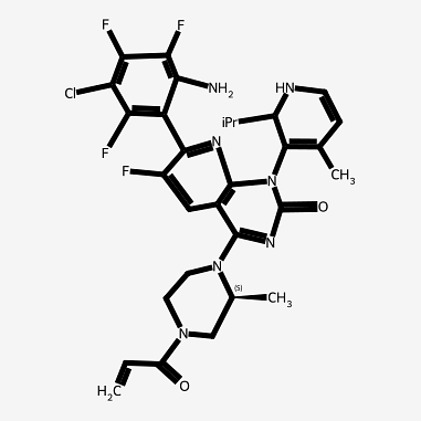 C=CC(=O)N1CCN(c2nc(=O)n(C3=C(C)C=CNC3C(C)C)c3nc(-c4c(N)c(F)c(F)c(Cl)c4F)c(F)cc23)[C@@H](C)C1